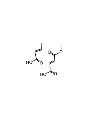 CC=CC(=O)O.COC(=O)C=CC(=O)O